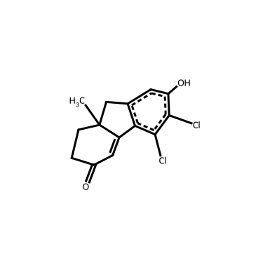 CC12CCC(=O)C=C1c1c(cc(O)c(Cl)c1Cl)C2